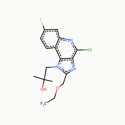 CC(C)(O)Cn1c(COCC(F)(F)F)nc2c(Cl)nc3cc(F)ccc3c21